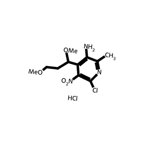 COCCC(OC)c1c(N)c(C)nc(Cl)c1[N+](=O)[O-].Cl